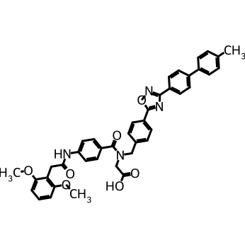 COc1cccc(OC)c1CC(=O)Nc1ccc(C(=O)N(CC(=O)O)Cc2ccc(-c3nc(-c4ccc(-c5ccc(C)cc5)cc4)no3)cc2)cc1